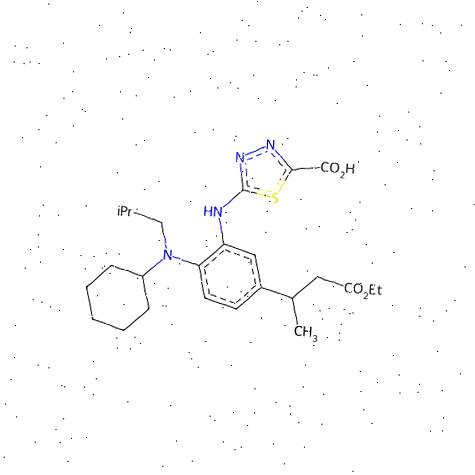 CCOC(=O)CC(C)c1ccc(N(CC(C)C)C2CCCCC2)c(Nc2nnc(C(=O)O)s2)c1